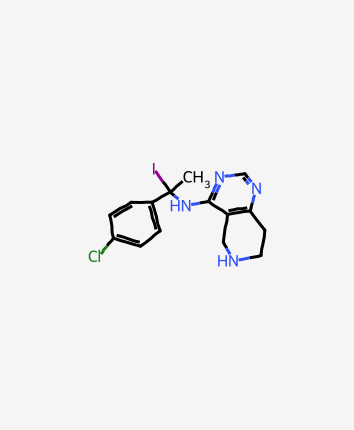 CC(I)(Nc1ncnc2c1CNCC2)c1ccc(Cl)cc1